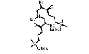 CCC(CN(CC)CC(CC)C(=O)CCC[Si](C)(C)OC)C(=O)CCC[Si](C)(C)OC